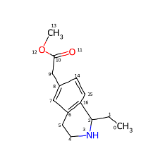 CCC1NCCc2cc(CC(=O)OC)ccc21